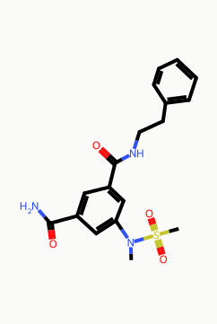 CN(c1cc(C(N)=O)cc(C(=O)NCCc2ccccc2)c1)S(C)(=O)=O